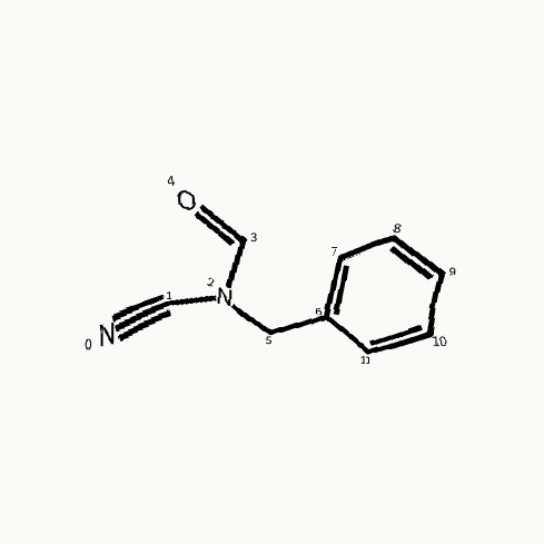 N#CN(C=O)Cc1ccccc1